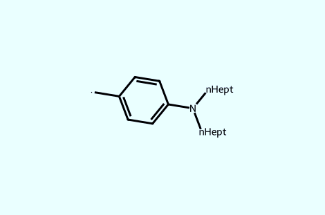 [CH2]c1ccc(N(CCCCCCC)CCCCCCC)cc1